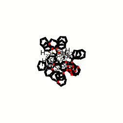 c1ccc(C([SiH2][C]([SiH2]C(c2ccccc2)c2ccccc2)([SiH2]C(c2ccccc2)c2ccccc2)[Cr]([C]([SiH2]C(c2ccccc2)c2ccccc2)([SiH2]C(c2ccccc2)c2ccccc2)[SiH2]C(c2ccccc2)c2ccccc2)[C]([SiH2]C(c2ccccc2)c2ccccc2)([SiH2]C(c2ccccc2)c2ccccc2)[SiH2]C(c2ccccc2)c2ccccc2)c2ccccc2)cc1